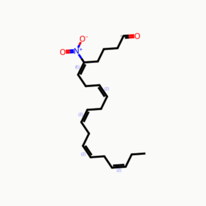 CC/C=C\C/C=C\C/C=C\C/C=C\C/C=C(\CCC[C]=O)[N+](=O)[O-]